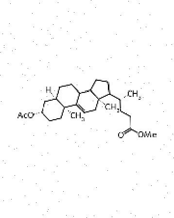 COC(=O)CC[C@@H](C)C1CCC2C3CC[C@@H]4C[C@@H](OC(C)=O)CC[C@]4(C)C3=CC[C@@]21C